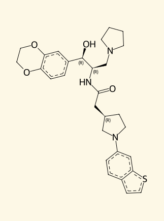 O=C(C[C@H]1CCN(c2ccc3ccsc3c2)C1)N[C@H](CN1CCCC1)[C@H](O)c1ccc2c(c1)OCCO2